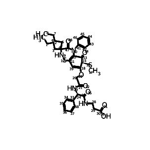 CCCCC1(CCCC)NSC2=C(C(=O)[C@@H](SC)C(OCC(=O)N[C@@H](C(=O)NCCC(=O)O)c3ccccc3)=C2)N(c2ccccc2)C1=O